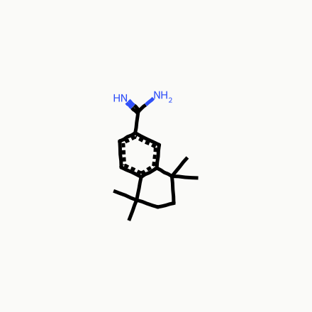 CC1(C)CCC(C)(C)c2cc(C(=N)N)ccc21